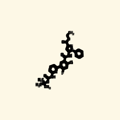 CCOC(=O)c1cc(NC(=O)c2cc(-c3cccc(NC(=O)OC(C)(C)C)n3)c(F)cc2Cl)n(-c2ccccc2)n1